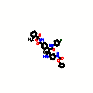 COc1cc(C(=O)NS(=O)(=O)c2ccccc2C)ccc1C(C(=O)Nc1ccc(F)cc1)c1c[nH]c2ccc(NC(=O)OC3CCCC3)cc12